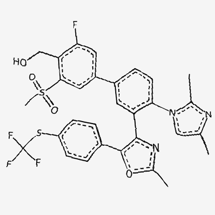 Cc1cn(-c2ccc(-c3cc(F)c(CO)c(S(C)(=O)=O)c3)cc2-c2nc(C)oc2-c2ccc(SC(F)(F)F)cc2)c(C)n1